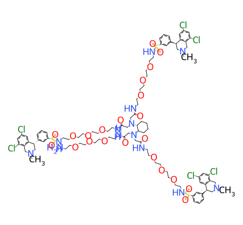 CN1Cc2c(Cl)cc(Cl)cc2[C@H](c2cccc(S(=O)(=O)NCCOCCOCCOCCNC(=O)CN(CC(=O)NCCOCCOCCOCCN)[C@@H]3CCCC[C@H]3N(CC(=O)NCCOCCOCCOCCNS(=O)(=O)c3cccc([C@@H]4CN(C)Cc5c(Cl)cc(Cl)cc54)c3)CC(=O)NCCOCCOCCOCCNS(=O)(=O)c3cccc([C@@H]4CN(C)Cc5c(Cl)cc(Cl)cc54)c3)c2)C1